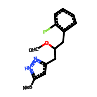 CSc1cc(CC(Cc2ccccc2F)OC=O)n[nH]1